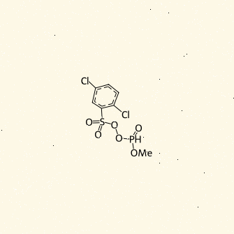 CO[PH](=O)OOS(=O)(=O)c1cc(Cl)ccc1Cl